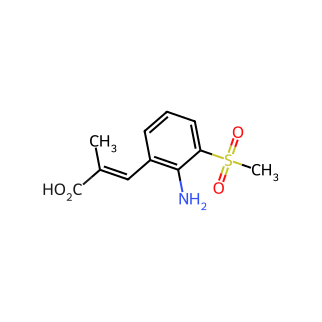 CC(=Cc1cccc(S(C)(=O)=O)c1N)C(=O)O